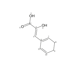 O=C(O)C(O)=CC1=CCCC=C1